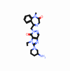 CCn1c(N2CCCC(N)C2)nc2cnn(CC3=NCC(=O)N(C)c4ccccc43)c(=O)c21